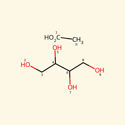 CC(=O)O.OCC(O)C(O)CO